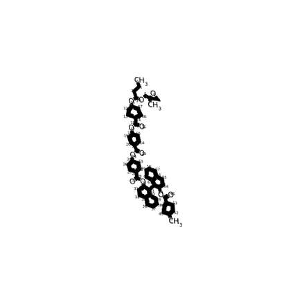 CCCC(OCC1(C)CO1)Oc1ccc(C(=O)Oc2ccc(C(=O)Oc3ccc(C(=O)Oc4ccc5ccccc5c4-c4c(OC(=O)c5ccc(C)cc5)ccc5ccccc45)cc3)cc2)cc1